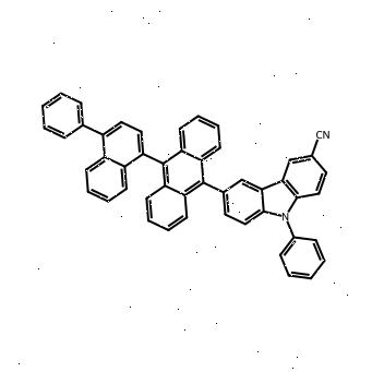 N#Cc1ccc2c(c1)c1cc(-c3c4ccccc4c(-c4ccc(-c5ccccc5)c5ccccc45)c4ccccc34)ccc1n2-c1ccccc1